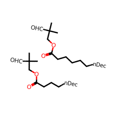 CCCCCCCCCCCCCC(=O)OCC(C)(C)C=O.CCCCCCCCCCCCCCCC(=O)OCC(C)(C)C=O